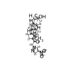 C[C@@]1(O)CC[C@H]2[C@H](CC[C@@H]3[C@@H]2CC[C@]2(C)[C@@H](C(=O)Cn4cc([N+](=O)[O-])cn4)CC[C@@H]32)C1